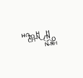 O=c1[nH]cnc2c(CNCOP(O)O)c[nH]c12